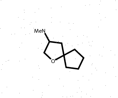 CNC1COC2(CCCC2)C1